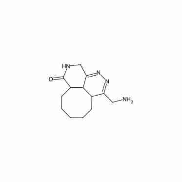 NCC1=NN=C2CNC(=O)C3CCCCCC1C23